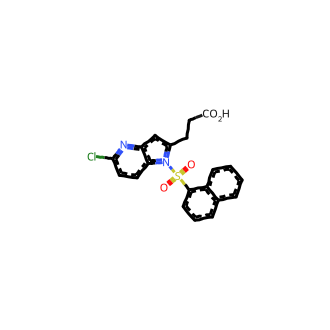 O=C(O)CCc1cc2nc(Cl)ccc2n1S(=O)(=O)c1cccc2ccccc12